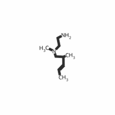 CC=CC(C)CN(C)CCN